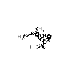 CCOC(=O)[C@@H]1CN(Cc2ccccc2)C[C@H]1CC(Cc1ccc(OC)c(OCCCOC)c1)C(C)C